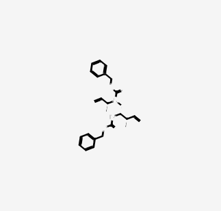 C=C[C@@H](C)[C@@H](CN(C(=O)OCc1ccccc1)[C@@H](C)C=C)NC(=O)OCc1ccccc1